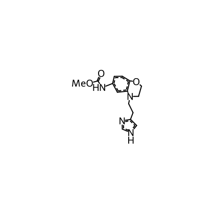 COC(=O)Nc1ccc2c(c1)N(CCc1c[nH]cn1)CCO2